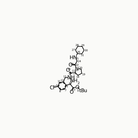 CC(C)(C)OC(=O)C(N)c1ccc(Cl)cc1CNC(=O)[C@@H]1CCCN1C(=O)CNC1CCCCC1